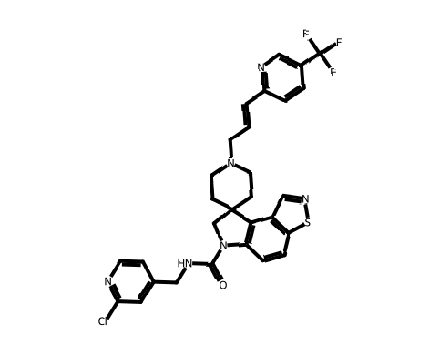 O=C(NCc1ccnc(Cl)c1)N1CC2(CCN(C/C=C/c3ccc(C(F)(F)F)cn3)CC2)c2c1ccc1sncc21